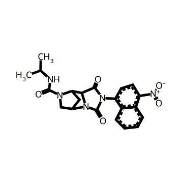 CC(C)NC(=O)N1CC2CC1C1C(=O)N(c3ccc([N+](=O)[O-])c4ccccc34)C(=O)N21